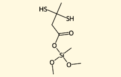 CO[Si](C)(OC)OC(=O)CC(C)(S)S